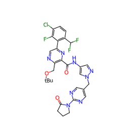 CC(C)(C)OCc1ncc(-c2c(C(F)F)ccc(Cl)c2F)nc1C(=O)Nc1cnn(Cc2cnc(N3CCCC3=O)nc2)c1